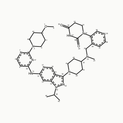 COC1CCN(c2nccc(Nc3cc4c(cn3)c(N3CCC(N(C)Cc5ccncc5N5CCC(=O)NC5=O)CC3)nn4C(C)C)n2)CC1